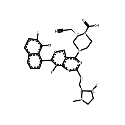 CN1CC[C@H](F)[C@@H]1COc1nc(N2CCN(C(=O)O)[C@@H](CC#N)C2)c2cnc(-c3cccc4ccc(F)c(Cl)c34)c(F)c2n1